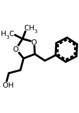 CC1(C)OC(CCO)C(Cc2ccccc2)O1